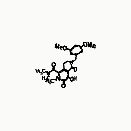 COc1cc(CN2CCc3c(c(O)c(=O)n(C)c3C(=O)N(C)C)C2=O)cc(OC)c1